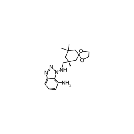 CC1(C)CC2(C[C@](C)(CNn3nnc4cccc(N)c43)C1)OCCO2